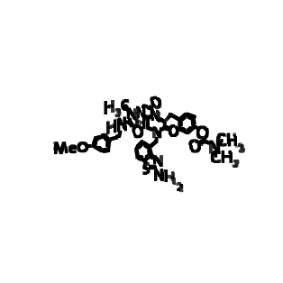 COc1ccc(CNC(=O)N(C)N2CC(=O)N3[C@@H](Cc4ccc(OC(=O)N(C)C)cc4)C(=O)N(Cc4cccc5sc(N)nc45)C[C@@H]32)cc1